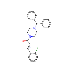 O=C(/C=C/c1ccccc1F)N1CCN(C(c2ccccc2)c2ccccc2)CC1